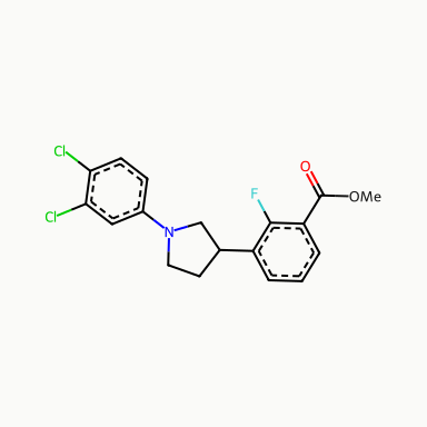 COC(=O)c1cccc(C2CCN(c3ccc(Cl)c(Cl)c3)C2)c1F